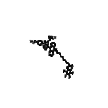 Cc1ccc(S(=O)(=O)N(CCCS(=O)(=O)O)C(=O)c2c3ccccc3[n+](CCCCCCCCCC(=O)Oc3c(F)c(F)c(F)c(F)c3F)c3ccccc23)cc1